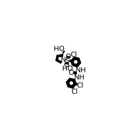 O=C(Nc1ccc(Cl)c(S(=O)(=O)N2CCC[C@H]2CO)c1O)Nc1cccc(Cl)c1Cl